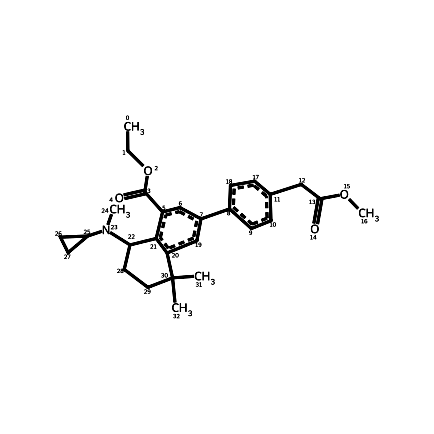 CCOC(=O)c1cc(-c2ccc(CC(=O)OC)cc2)cc2c1C(N(C)C1CC1)CCC2(C)C